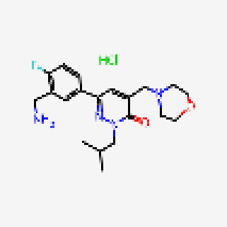 CC(C)Cn1nc(-c2ccc(F)c(CN)c2)cc(CN2CCOCC2)c1=O.Cl